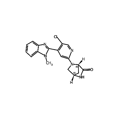 Cn1c(-c2cc(N3C[C@@H]4C[C@H]3C(=O)N4)ncc2Cl)nc2ccccc21